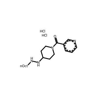 CCCCCCCCNNC1CCN(C(=O)c2cccnc2)CC1.Cl.Cl